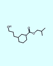 CC(C)COC(=O)N1CCCC(CCCO)C1